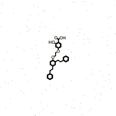 O=C(O)c1ccc(OCCOc2ccc(CCc3ccccc3)cc2CCc2ccccc2)cc1O